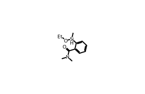 CCO[SiH](C)c1ccccc1C(=O)N(C)C